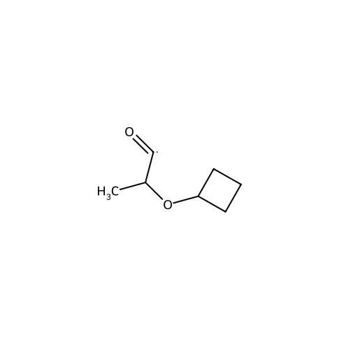 CC([C]=O)OC1CCC1